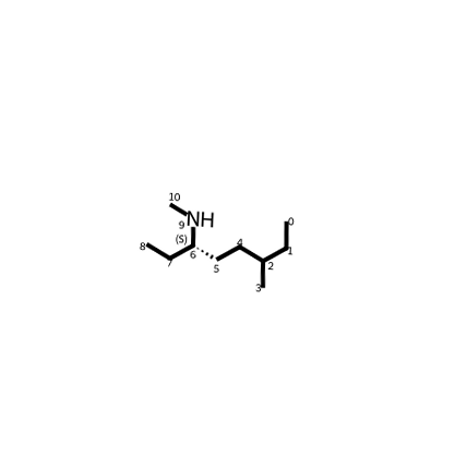 CCC(C)CC[C@H](CC)NC